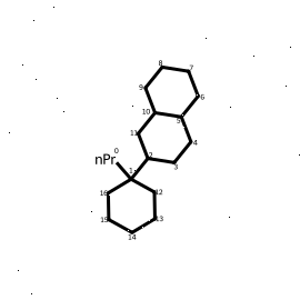 CCCC1(C2CCC3CCCCC3C2)CCCCC1